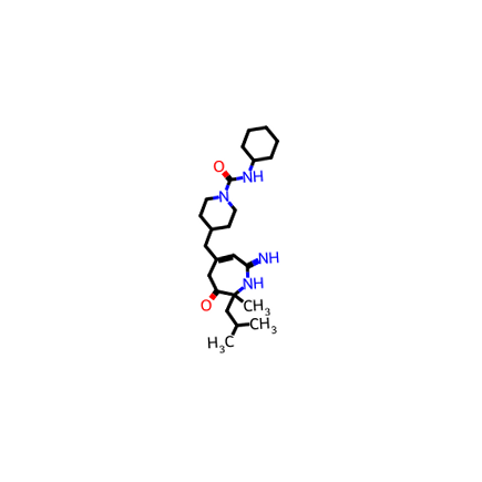 CC(C)CC1(C)NC(=N)C=C(CC2CCN(C(=O)NC3CCCCC3)CC2)CC1=O